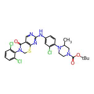 CC1CN(C(=O)OC(C)(C)C)CCN1c1ccc(Nc2ncc3c(n2)SCN(c2c(Cl)cccc2Cl)C3=O)cc1Cl